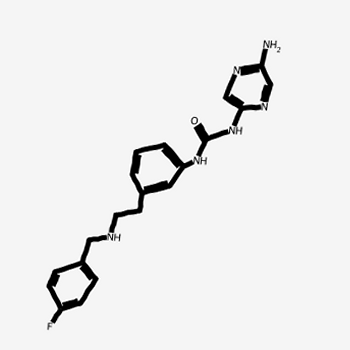 Nc1cnc(NC(=O)Nc2cccc(CCNCc3ccc(F)cc3)c2)cn1